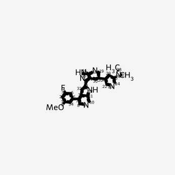 COc1cc(F)cc(-c2cncc3[nH]c(-c4n[nH]c5ncc(-c6cncc(N(C)C)c6)cc45)cc23)c1